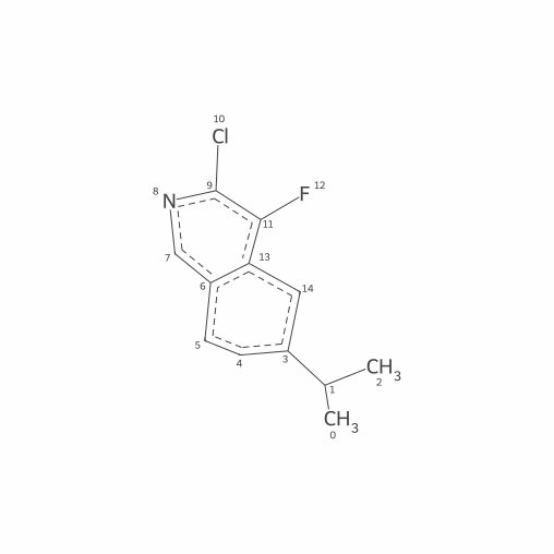 CC(C)c1ccc2cnc(Cl)c(F)c2c1